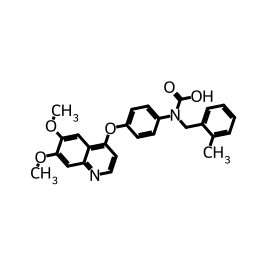 COc1cc2nccc(Oc3ccc(N(Cc4ccccc4C)C(=O)O)cc3)c2cc1OC